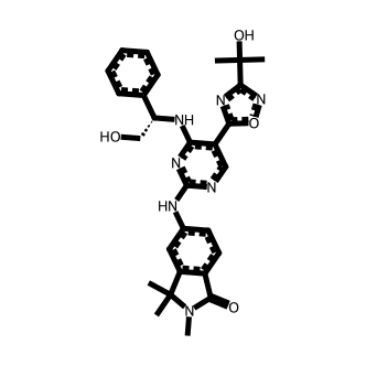 CN1C(=O)c2ccc(Nc3ncc(-c4nc(C(C)(C)O)no4)c(N[C@H](CO)c4ccccc4)n3)cc2C1(C)C